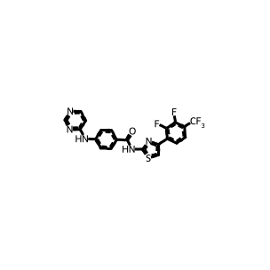 O=C(Nc1nc(-c2ccc(C(F)(F)F)c(F)c2F)cs1)c1ccc(Nc2ccncn2)cc1